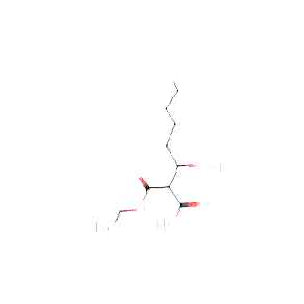 CCCCCC(O)C(C(=O)O)C(=O)OCC